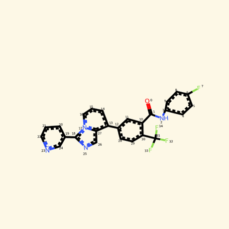 O=C(Nc1ccc(F)cc1)c1cc(-c2cccn3c(-c4cccnc4)ncc23)ccc1C(F)(F)F